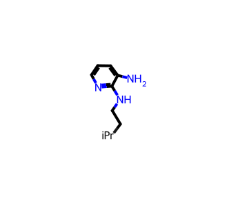 CC(C)CCNc1ncccc1N